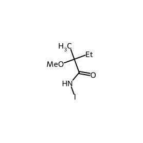 CCC(C)(OC)C(=O)NI